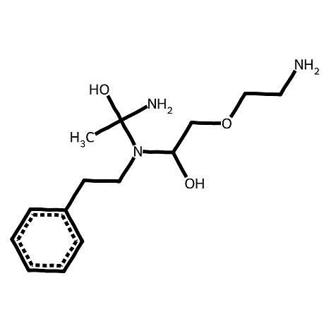 CC(N)(O)N(CCc1ccccc1)C(O)COCCN